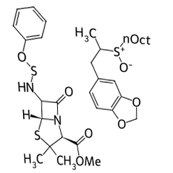 CCCCCCCC[S+]([O-])C(C)Cc1ccc2c(c1)OCO2.COC(=O)[C@@H]1N2C(=O)C(NSOc3ccccc3)[C@H]2SC1(C)C